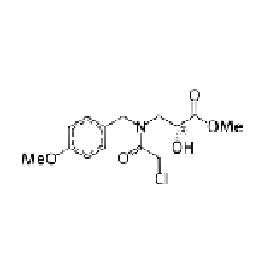 COC(=O)[C@H](O)CN(Cc1ccc(OC)cc1)C(=O)CCl